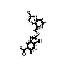 CC(=O)c1cc2nc(SCc3nccc4c3OCC(C)O4)[nH]c2cc1C